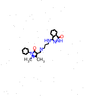 Cc1c(/C=N/CCCNc2n[nH]c(=O)c3ccccc23)c(=O)n(-c2ccccc2)n1C